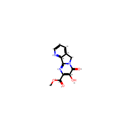 COC(=O)c1nc2n(c(=O)c1O)Cc1cccnc1-2